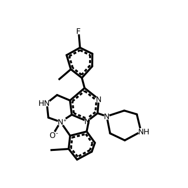 Cc1cc(F)ccc1-c1nc(N2CCNCC2)nc2c1CNC[N+]2([O-])c1c(C)cccc1C